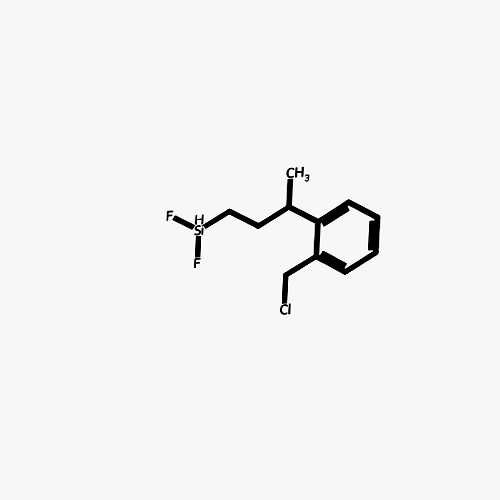 CC(CC[SiH](F)F)c1ccccc1CCl